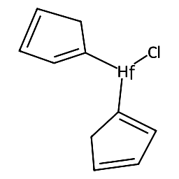 [Cl][Hf]([C]1=CC=CC1)[C]1=CC=CC1